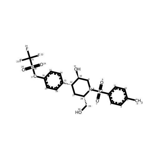 Cc1ccc(S(=O)(=O)N2C[C@H](O)[C@@H](c3ccc(OS(=O)(=O)C(F)(F)F)cc3)C[C@H]2CO)cc1